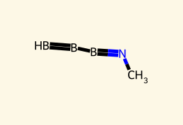 B=BB=NC